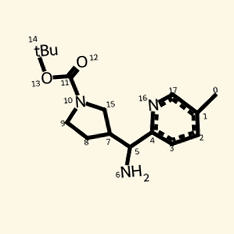 Cc1ccc(C(N)C2CCN(C(=O)OC(C)(C)C)C2)nc1